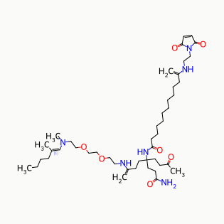 C=C(CCCCCCCCCCC(=O)NC(CCC(=C)NCCOCCOCCN(C)/C=C(\C)CCCC)(CCC(C)=O)CCC(N)=O)NCCN1C(=O)C=CC1=O